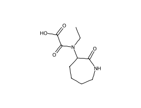 CCN(C(=O)C(=O)O)C1CCCCNC1=O